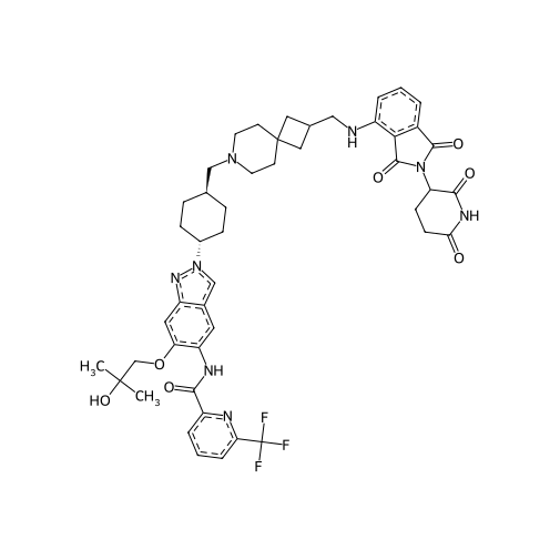 CC(C)(O)COc1cc2nn([C@H]3CC[C@H](CN4CCC5(CC4)CC(CNc4cccc6c4C(=O)N(C4CCC(=O)NC4=O)C6=O)C5)CC3)cc2cc1NC(=O)c1cccc(C(F)(F)F)n1